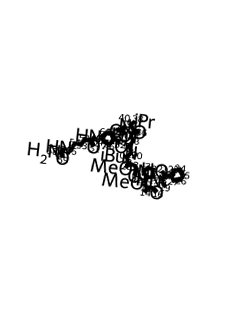 CCC(C)C(C(CC(=O)N1CCCC1C(OC)C(C)C(=O)NC(C)C(O)c1ccccc1)OC)N(C)C(=O)CNC(=O)C(C(C)C)N(C)C(=O)OCc1ccc(NC(=O)CCCCNC(N)=O)cc1